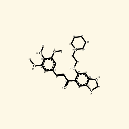 COc1cc(C=CC(=O)c2cc3c(cc2OCCN2CCCCC2)OCO3)cc(OC)c1OC